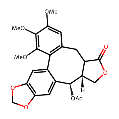 COc1cc2c(c(OC)c1OC)-c1cc3c(cc1[C@H](OC(C)=O)[C@H]1COC(=O)C1C2)OCO3